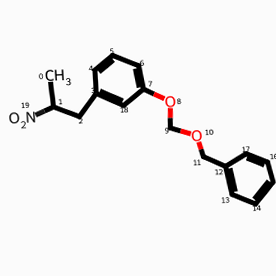 CC(Cc1cccc(OCOCc2ccccc2)c1)[N+](=O)[O-]